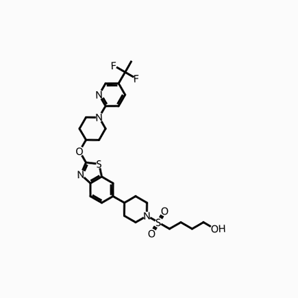 CC(F)(F)c1ccc(N2CCC(Oc3nc4ccc(C5CCN(S(=O)(=O)CCCCO)CC5)cc4s3)CC2)nc1